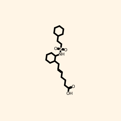 O=C(O)CCCC=CCC1CCCCC1NS(=O)(=O)CCC1CCCCC1